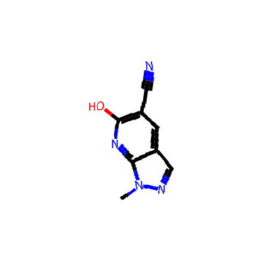 Cn1ncc2cc(C#N)c(O)nc21